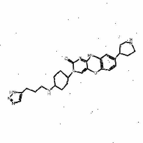 O=c1nc2c(cn1C1CCC(NCCCc3cnn[nH]3)CC1)Oc1ccc(C3CCNCC3)cc1N2